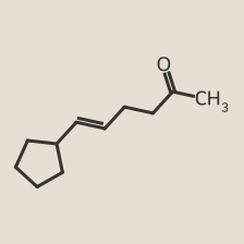 CC(=O)CCC=CC1CCCC1